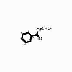 O=[C]OC(=O)c1ccccc1